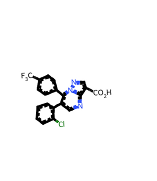 O=C(O)c1cnn2c(-c3ccc(C(F)(F)F)cc3)c(-c3ccccc3Cl)cnc12